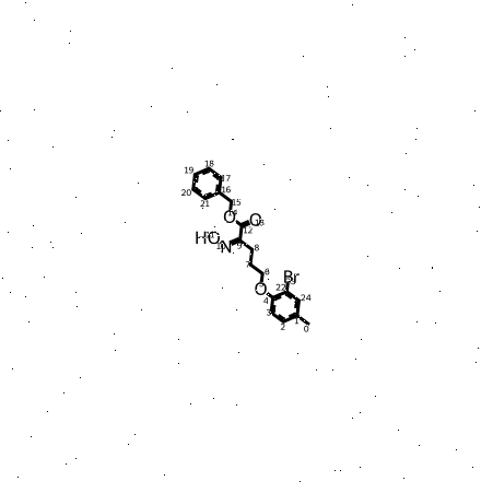 Cc1ccc(OCCCC(=NO)C(=O)OCc2ccccc2)c(Br)c1